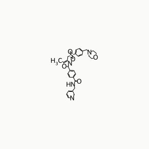 Cc1oc(-c2ccc(C(=O)NCc3cccnc3)cc2)nc1CS(=O)(=O)c1ccc(CN2CCOCC2)cc1